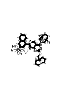 CP(O)(O)(O)c1cc(-c2ncc3c(N4C[C@H]5CC[C@@H](C4)N5)nc(OCC45CCCN4CCC5)nc3c2F)c2ccccc2c1